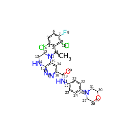 C[C@H](c1c(Cl)ccc(F)c1Cl)N1CCNc2nnc(C(=O)Nc3ccc(N4CCOCC4)cc3)cc21